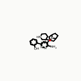 Nc1nnc(-c2ccccc2O)cc1N1CC2CCC(C1)N2C[C@]1(O)CCCNC1